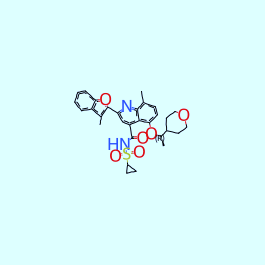 Cc1c(-c2cc(C(=O)NS(=O)(=O)C3CC3)c3c(O[C@H](C)C4CCOCC4)ccc(C)c3n2)oc2ccccc12